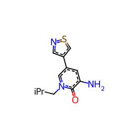 CC(C)Cn1cc(-c2cnsc2)cc(N)c1=O